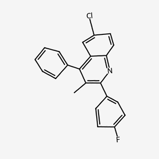 Cc1c(-c2ccc(F)cc2)nc2ccc(Cl)cc2c1-c1ccccc1